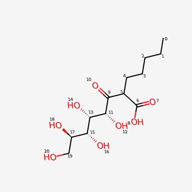 CCCCCC(C(=O)O)C(=O)[C@H](O)[C@@H](O)[C@H](O)[C@H](O)CO